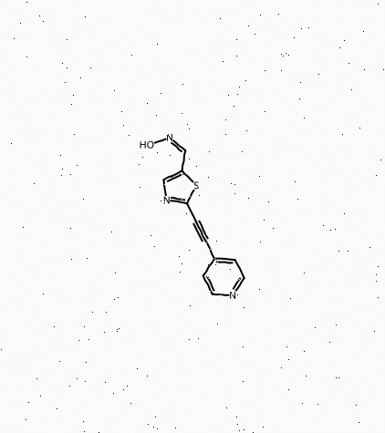 O/N=C\c1cnc(C#Cc2ccncc2)s1